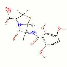 COc1ccc(OC)c(C(=O)NC2(C)C(=O)N3[C@@H](C(=O)O)C(C)(C)S[C@@H]32)c1OC